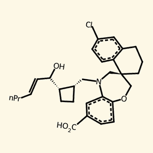 CCC/C=C/C(O)[C@H]1CC[C@H]1CN1C[C@@]2(CCCc3cc(Cl)ccc32)COc2ccc(C(=O)O)cc21